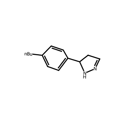 CCCCc1ccc(C2CC=NN2)cc1